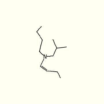 CC/C=C\N(CCCC)CC(C)C